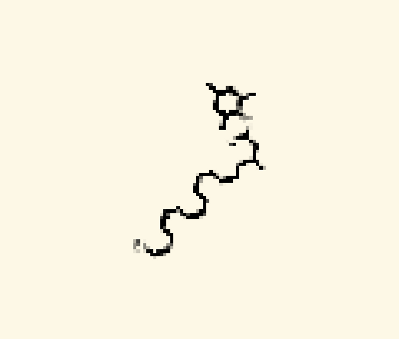 CC/C=C\C/C=C\C/C=C\C/C=C\C/C=C\CC(C)CC(=O)Oc1c(C)cc(C)cc1C